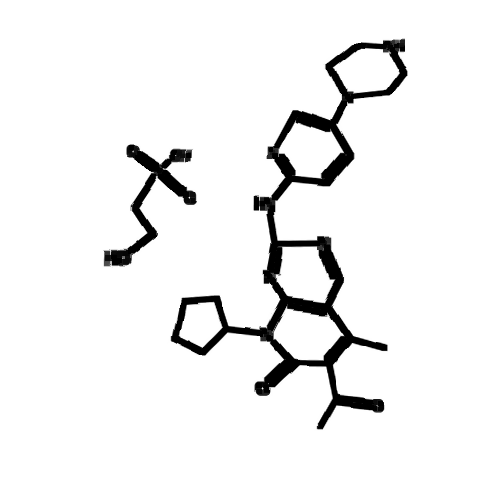 CC(=O)c1c(C)c2cnc(Nc3ccc(N4CCNCC4)cn3)nc2n(C2CCCC2)c1=O.O=S(=O)(O)CCO